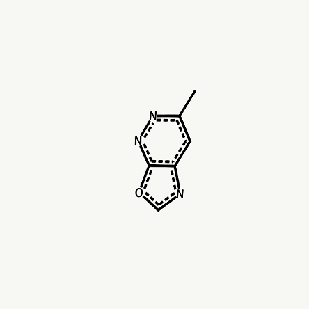 Cc1cc2ncoc2nn1